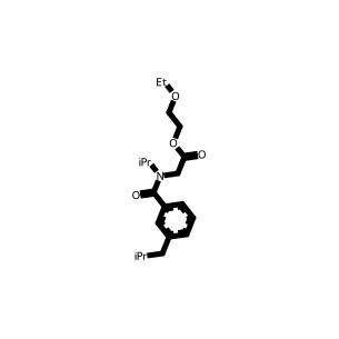 CCOCCOC(=O)CN(C(=O)c1cccc(CC(C)C)c1)C(C)C